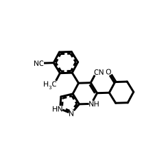 Cc1c(C#N)cccc1C1C(C#N)=C(C2CCCCC2=O)Nc2n[nH]cc21